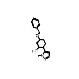 Cn1nccc1C1CCC(OCc2ccccc2)CC1O